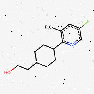 OCCC1CCC(c2ncc(F)cc2C(F)(F)F)CC1